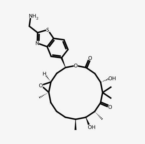 C[C@H]1CCC[C@@]2(C)O[C@H]2C[C@@H](c2ccc3sc(CN)nc3c2)OC(=O)C[C@H](O)C(C)(C)C(=O)[C@H](C)[C@H]1O